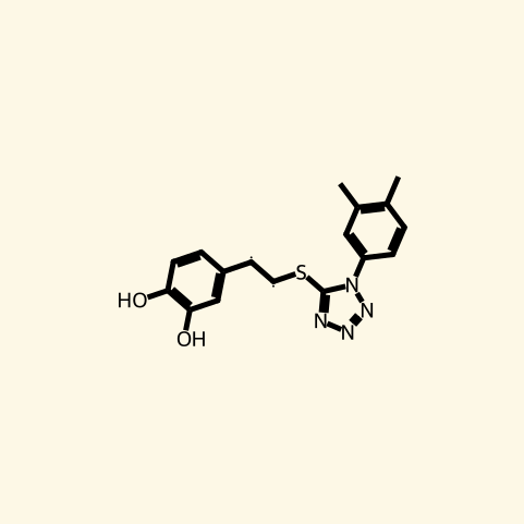 Cc1ccc(-n2nnnc2S[CH][CH]c2ccc(O)c(O)c2)cc1C